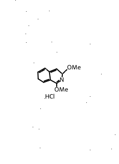 COC1=NC(OC)C=C2C=CCC=C21.Cl